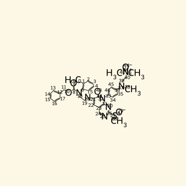 Cc1cccc2c1N(C(=O)OCc1ccccc1)CCN2c1cc2cnc([S+](C)[O-])nc2n(-c2ccc(N(C)CC[N+](C)(C)[O-])cc2)c1=O